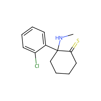 CNC1(c2ccccc2Cl)CCCCC1=S